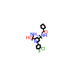 CC(O)(CN)c1cc(C(C)(C)NCC(=O)c2ccccc2)cc(-c2ccc(F)c(Cl)c2)n1